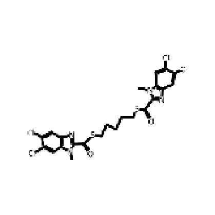 Cn1c(C(=O)SCCCCCSC(=O)c2nc3cc(Cl)c(Cl)cc3n2C)nc2cc(Cl)c(Cl)cc21